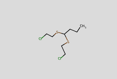 CCCC(SCCCl)SCCCl